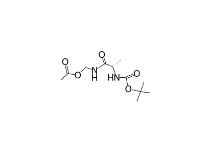 CC(=O)OCNC(=O)[C@H](C)NC(=O)OC(C)(C)C